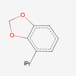 CC(C)c1cccc2c1OCO2